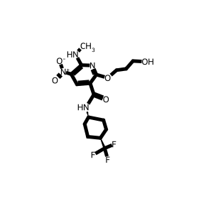 CNc1nc(OCCCO)c(C(=O)N[C@H]2CC[C@H](C(F)(F)F)CC2)cc1[N+](=O)[O-]